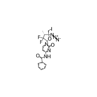 C[C@H]1C(F)(F)[C@H](n2ccc(NC(=O)c3ccccc3)nc2=O)O[C@@]1(CI)N=[N+]=[N-]